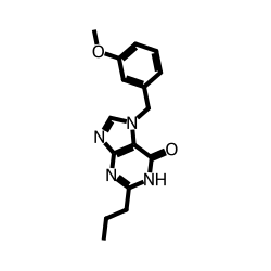 CCCc1nc2ncn(Cc3cccc(OC)c3)c2c(=O)[nH]1